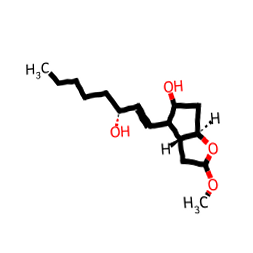 CCCCC[C@@H](O)C=CC1C(O)C[C@H]2OC(OC)C[C@H]12